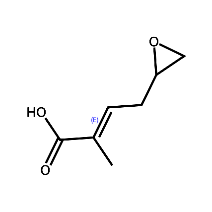 C/C(=C\CC1CO1)C(=O)O